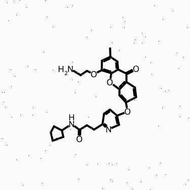 Cc1cc(OCCN)c2oc3cc(Oc4ccc(CCC(=O)NC5CCCC5)nc4)ccc3c(=O)c2c1